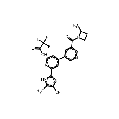 Cc1nc(-c2cc(-c3cncc(C(=O)N4CCC4C(F)(F)F)c3)ccn2)[nH]c1C.O=C(O)C(F)(F)F